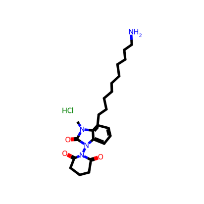 Cl.Cn1c(=O)n(N2C(=O)CCCC2=O)c2cccc(CCCCCCCCCCN)c21